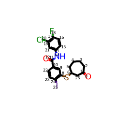 O=C1CCCCC(Sc2cc(C(=O)Nc3ccc(F)c(Cl)c3)ccc2I)C1